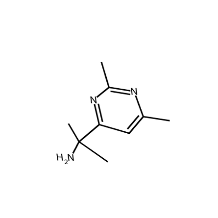 Cc1cc(C(C)(C)N)nc(C)n1